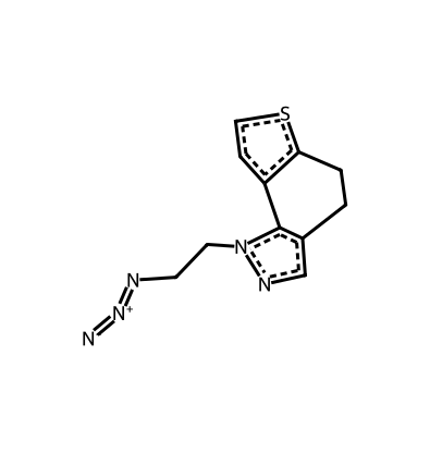 [N-]=[N+]=NCCn1ncc2c1-c1ccsc1CC2